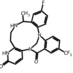 CC1NCCc2[nH]c(=O)ccc2N2CN(c3ccc(C(F)(F)F)cc3C2=O)c2ccc(F)cc21